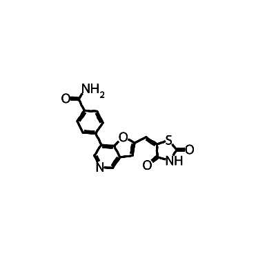 NC(=O)c1ccc(-c2cncc3cc(/C=C4/SC(=O)NC4=O)oc23)cc1